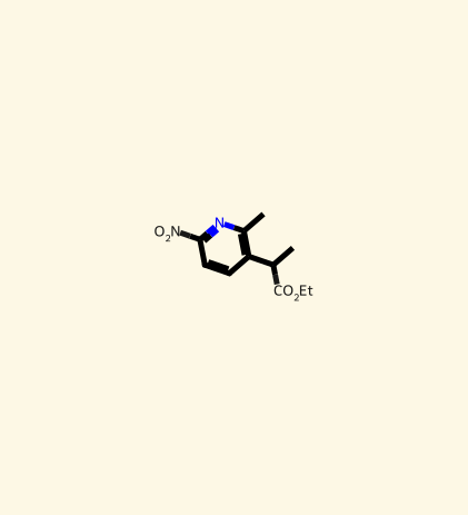 CCOC(=O)C(C)c1ccc([N+](=O)[O-])nc1C